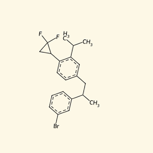 CC(C)c1cc(CC(C)c2cccc(Br)c2)ccc1C1CC1(F)F